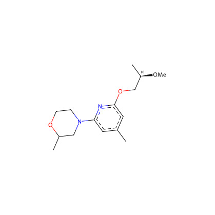 CO[C@H](C)COc1cc(C)cc(N2CCOC(C)C2)n1